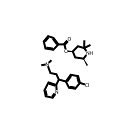 CN(C)CCC(c1ccc(Cl)cc1)c1ccccn1.C[C@H]1C[C@@H](OC(=O)c2ccccc2)CC(C)(C)N1